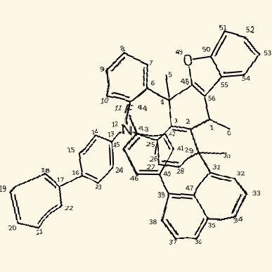 CC1C2=C3C(C)(c4ccccc4N(c4ccc(-c5ccccc5)cc4)C3(C)C=CC2(C)c2cccc3cccc(-c4ccc(F)cc4)c23)c2oc3ccccc3c21